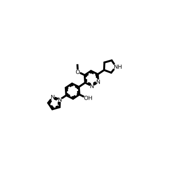 COc1cc(C2CCNC2)nnc1-c1ccc(-n2cccn2)cc1O